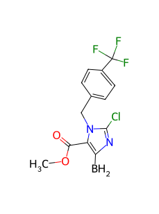 Bc1nc(Cl)n(Cc2ccc(C(F)(F)F)cc2)c1C(=O)OC